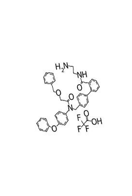 NCCNC(=O)c1ccccc1-c1ccc(CN(C(=O)COCc2ccccc2)c2ccc(Oc3ccccc3)cc2)cc1.O=C(O)C(F)(F)F